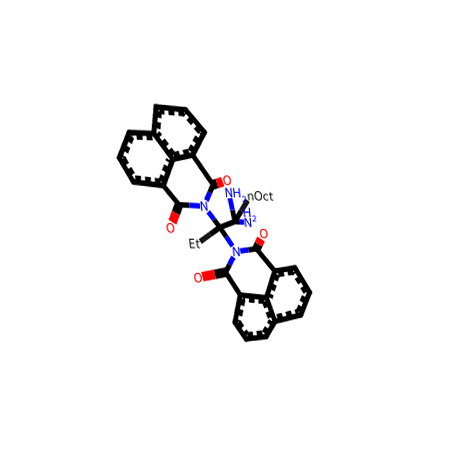 CCCCCCCCC(N)(N)C(CC)(N1C(=O)c2cccc3cccc(c23)C1=O)N1C(=O)c2cccc3cccc(c23)C1=O